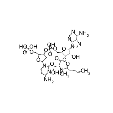 C=CCCC(=O)N(C)C(CO)C(=O)O[C@H]1[C@@H](O)[C@H](n2cnc3c(N)ncnc32)O[C@@H]1COP(=O)(O)O[C@H]1C[C@H](n2ccc(N)nc2=O)O[C@H]1COP(=O)(O)O